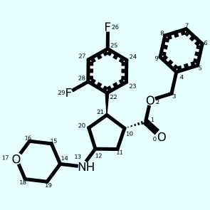 O=C(OCc1ccccc1)[C@@H]1CC(NC2CCOCC2)C[C@H]1c1ccc(F)cc1F